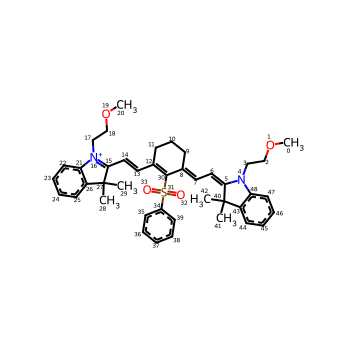 COCCN1/C(=C/C=C2\CCCC(/C=C/C3=[N+](CCOC)c4ccccc4C3(C)C)=C2S(=O)(=O)c2ccccc2)C(C)(C)c2ccccc21